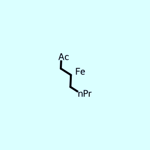 CCCCCCC(C)=O.[Fe]